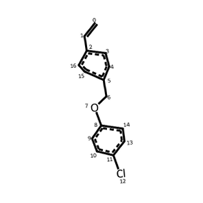 C=Cc1ccc(COc2ccc(Cl)cc2)cc1